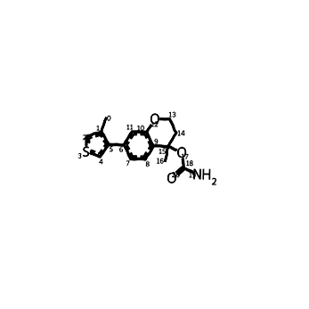 Cc1cscc1-c1ccc2c(c1)OCCC2(C)OC(N)=O